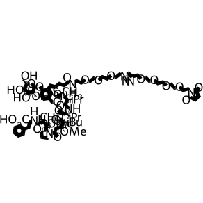 CCC(C)[C@@H]([C@@H](CC(=O)N1CCC[C@H]1[C@H](OC)[C@@H](C)C(=O)NC(Cc1ccccc1)C(=O)O)OC)N(C)C(=O)[C@@H](NC(=O)[C@H](C(C)C)N(C)C(=O)OCc1ccc(O[C@@H]2O[C@H](CO)[C@H](O)[C@H](O)[C@H]2O)c2cc(CCC(=O)NCCOCCOCCOCCn3cc(COCCOCCOCCOCCN4C(=O)C=CC4=O)nn3)sc12)C(C)C